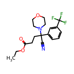 CCOC(=O)CCC(C#N)(c1cccc(C(F)(F)F)c1)N1CCOCC1